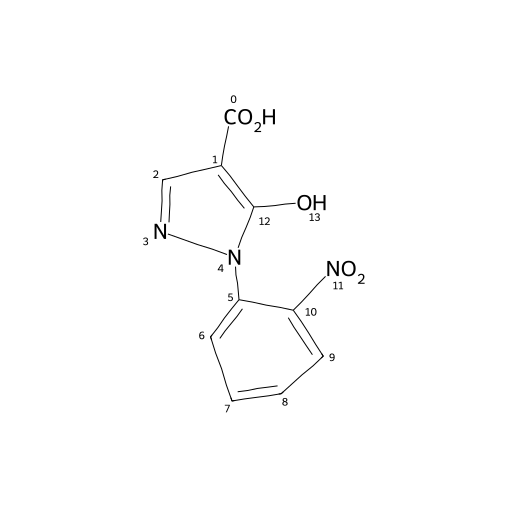 O=C(O)c1cnn(-c2ccccc2[N+](=O)[O-])c1O